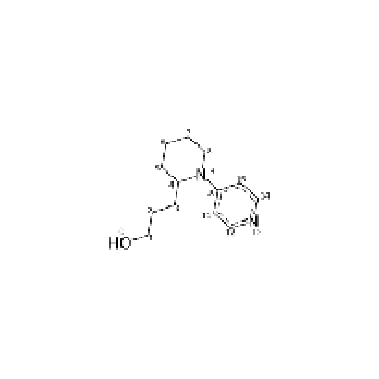 OCCCC1CCCCN1c1ccncc1